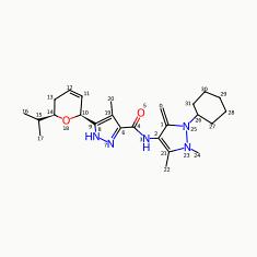 C=C1C(NC(=O)c2n[nH]c([C@@H]3C=CC[C@H](C(C)C)O3)c2C)=C(C)N(C)N1C1CCCCC1